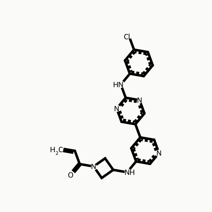 C=CC(=O)N1CC(Nc2cncc(-c3cnc(Nc4cccc(Cl)c4)nc3)c2)C1